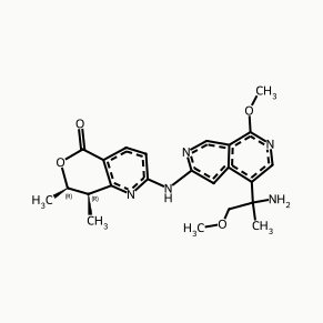 COCC(C)(N)c1cnc(OC)c2cnc(Nc3ccc4c(n3)[C@@H](C)[C@@H](C)OC4=O)cc12